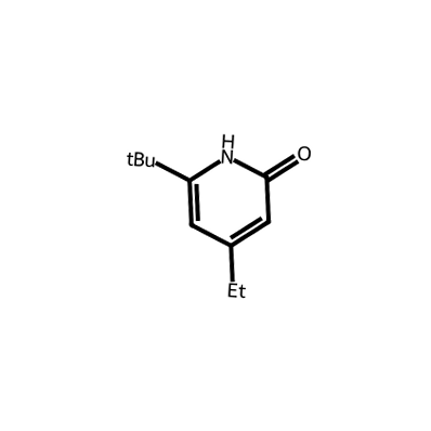 CCc1cc(C(C)(C)C)[nH]c(=O)c1